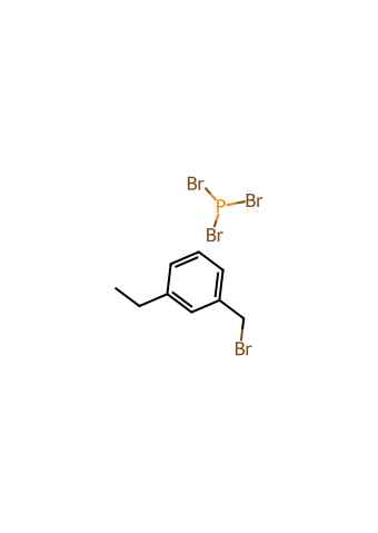 BrP(Br)Br.CCc1cccc(CBr)c1